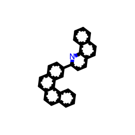 c1ccc2c(c1)ccc1ccc(-c3ccc4ccc5ccc6ccccc6c5c4c3)nc12